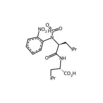 CC(C)C[C@H](NC(=O)[C@H](CC(C)C)N(c1ccccc1[N+](=O)[O-])[SH](=O)=O)C(=O)O